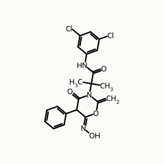 C=C1OC(=NO)C(c2ccccc2)C(=O)N1C(C)(C)C(=O)Nc1cc(Cl)cc(Cl)c1